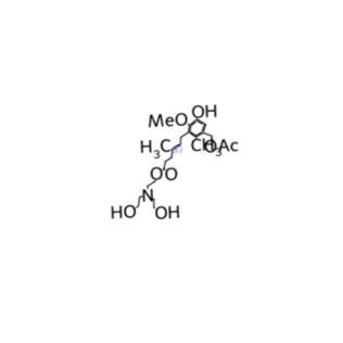 COc1c(O)cc(COC(C)=O)c(C)c1C/C=C(\C)CCC(=O)OCCN(CCO)CCO